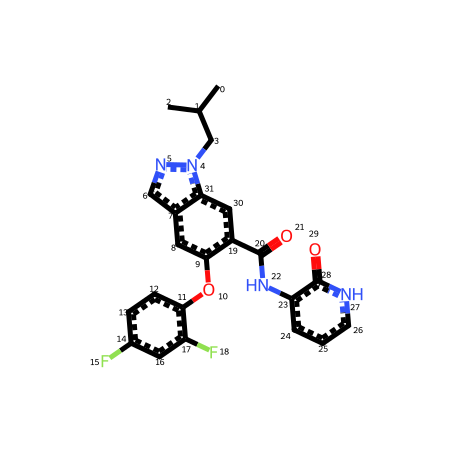 CC(C)Cn1ncc2cc(Oc3ccc(F)cc3F)c(C(=O)Nc3ccc[nH]c3=O)cc21